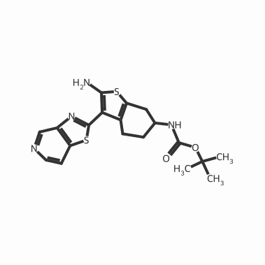 CC(C)(C)OC(=O)NC1CCc2c(sc(N)c2-c2nc3cnccc3s2)C1